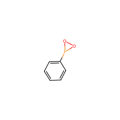 c1ccc(-p2oo2)cc1